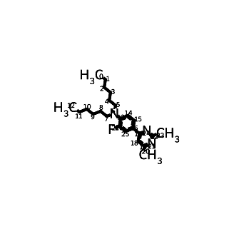 CCCCCCN(CCCCCC)c1ccc(-c2cc(C)nc(C)n2)cc1F